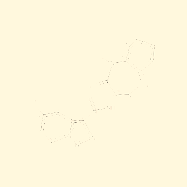 CN1C(=O)[C@@H](NC(=O)c2nnn3ccc(C(F)(F)F)cc23)COc2ccccc21